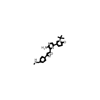 CNCc1ccc(-c2cc(-c3nc(-c4ccc(=O)n(C(C)(C)C)c4)cnc3N)on2)cc1